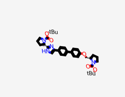 CC(C)(C)OC(=O)N1CCC[C@H]1COc1ccc(-c2ccc(-c3c[nH]c([C@@H]4CCCN4C(=O)OC(C)(C)C)n3)cc2)cc1